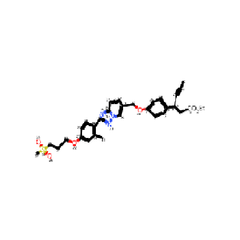 CC#C[C@@H](CC(=O)OCC)c1ccc(OCc2ccc3nc(-c4ccc(OCCCS(C)(=O)=O)cc4C)nn3c2)cc1